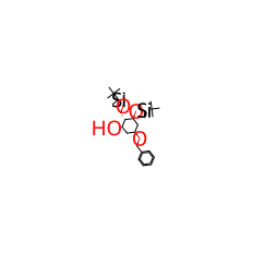 CC(C)(C)[Si](C)(C)OC[C@@H]1C(O[Si](C)(C)C(C)(C)C)CC(OCc2ccccc2)C[C@@H]1O